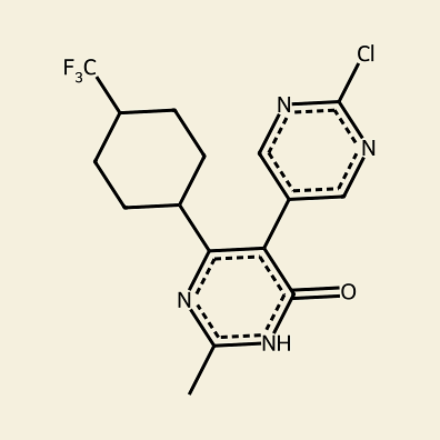 Cc1nc(C2CCC(C(F)(F)F)CC2)c(-c2cnc(Cl)nc2)c(=O)[nH]1